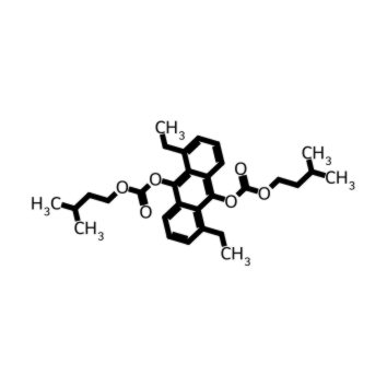 CCc1cccc2c(OC(=O)OCCC(C)C)c3c(CC)cccc3c(OC(=O)OCCC(C)C)c12